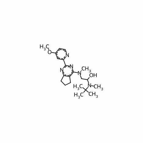 COc1ccnc(-c2nc3c(c(N(C)CC(O)N(C)C(C)(C)C)n2)CCC3)c1